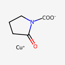 O=C([O-])N1CCCC1=O.[Cu+]